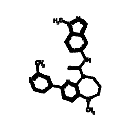 Cc1cc(-c2ccc3c(n2)N(C(=O)Nc2ccc4c(cnn4C)c2)CCCN3C)ccn1